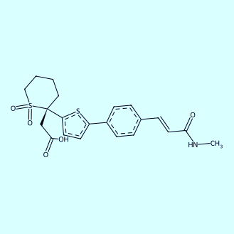 CNC(=O)/C=C/c1ccc(-c2ccc([C@@]3(CC(=O)O)CCCCS3(=O)=O)s2)cc1